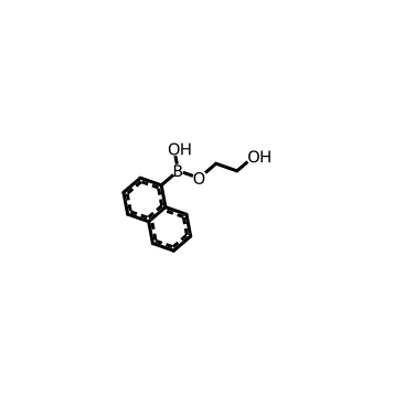 OCCOB(O)c1cccc2ccccc12